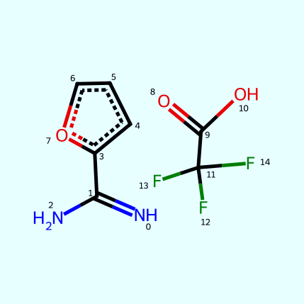 N=C(N)c1ccco1.O=C(O)C(F)(F)F